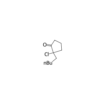 CCCCCC1(Cl)CCCC1=O